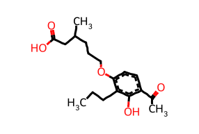 CCCc1c(OCCCC(C)CC(=O)O)ccc(C(C)=O)c1O